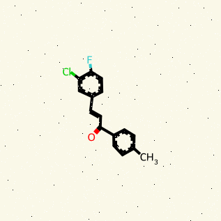 Cc1ccc(C(=O)/C=C/c2ccc(F)c(Cl)c2)cc1